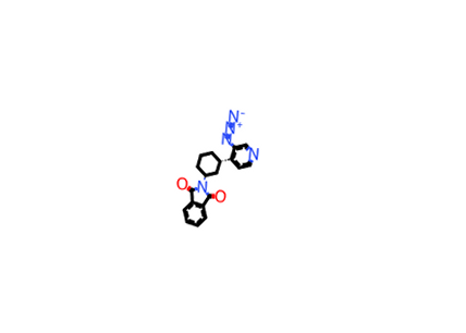 [N-]=[N+]=Nc1cnccc1[C@H]1CCC[C@@H](N2C(=O)c3ccccc3C2=O)C1